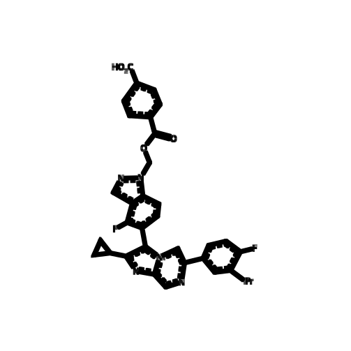 CC(C)c1cc(-c2cn3c(-c4ccc5c(cnn5COC(=O)c5ccc(C(=O)O)cc5)c4F)c(C4CC4)nc3cn2)ccc1F